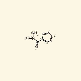 CCN(N)C(=O)c1ccncc1